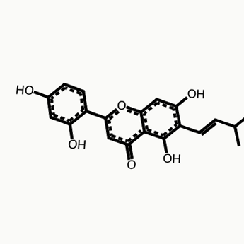 CC(C)/C=C/c1c(O)cc2oc(-c3ccc(O)cc3O)cc(=O)c2c1O